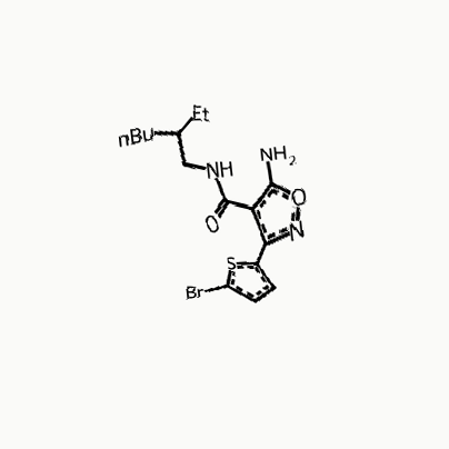 CCCCC(CC)CNC(=O)c1c(-c2ccc(Br)s2)noc1N